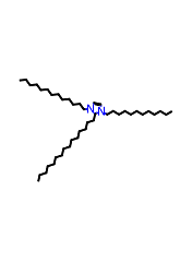 CCCCCCCCCCCCCCCC1N(CCCCCCCCCCCC)C=CN1CCCCCCCCCCCCC